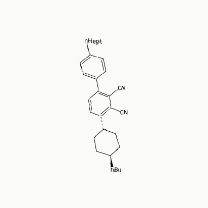 CCCCCCCc1ccc(-c2ccc([C@H]3CC[C@H](CCCC)CC3)c(C#N)c2C#N)cc1